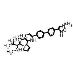 C/C=C(\N/C(=C/CC)C1C=CCN1C(=O)C(NC)C(C)C)c1ccc(-c2ccc(C3=CN(C)ON3)cc2)cc1